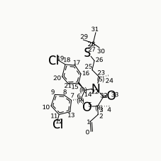 C=CC[C@@]1(C)O[C@H](c2cccc(Cl)c2)[C@@H](c2ccc(Cl)cc2)N([C@@H](C)CCSC(C)(C)C)C1=O